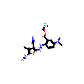 [C-]#[N+]c1sc(/N=N/c2ccc(N(C)C)cc2COC=N)c(C#N)c1C